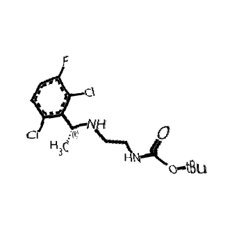 C[C@@H](NCCNC(=O)OC(C)(C)C)c1c(Cl)ccc(F)c1Cl